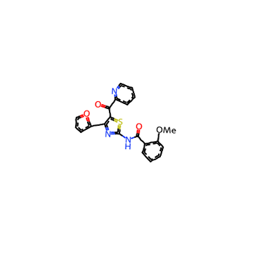 COc1ccccc1C(=O)Nc1nc(-c2ccco2)c(C(=O)c2ccccn2)s1